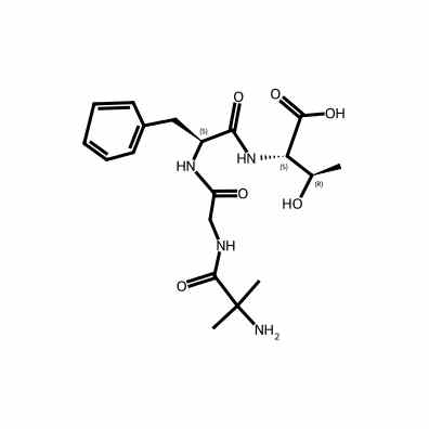 C[C@@H](O)[C@H](NC(=O)[C@H](Cc1ccccc1)NC(=O)CNC(=O)C(C)(C)N)C(=O)O